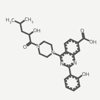 CC(C)CC(O)C(=O)N1CCN(c2nc(-c3ccccc3O)nc3cc(C(=O)O)ccc23)CC1